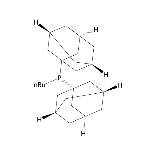 CCCCP(C12C[C@H]3C[C@@H](C1)C[C@@H](C2)C3)[C@]12C[C@H]3C[C@H](C[C@H](C3)C1)C2